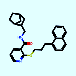 O=C(NCC1CC2CCC1C2)c1cccnc1SCCCc1cccc2ccccc12